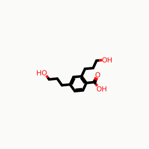 O=C(O)c1ccc(CCCO)cc1CCCO